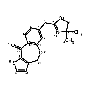 CC1(C)COC(Cc2ccc3c(c2)OCc2ccsc2C3=O)=N1